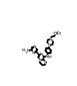 CCOCCN1CCN(c2ccc(NC3=NC(c4cncc(N)n4)=CN4C=CCN=C34)cc2)CC1